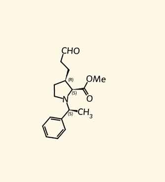 COC(=O)[C@@H]1[C@H](CCC=O)CCN1[C@@H](C)c1ccccc1